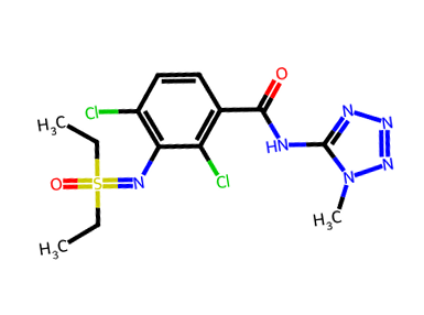 CCS(=O)(CC)=Nc1c(Cl)ccc(C(=O)Nc2nnnn2C)c1Cl